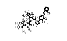 CCC(C)C(C(CC(=O)N1CCCC1C(SC)C(C)C(=O)NCCc1ccccc1O)OC)N(C)C(=O)C(NC(=O)C(C(C)C)N(C)C)C(C)C